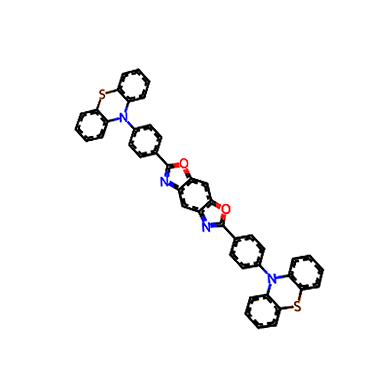 c1ccc2c(c1)Sc1ccccc1N2c1ccc(-c2nc3cc4nc(-c5ccc(N6c7ccccc7Sc7ccccc76)cc5)oc4cc3o2)cc1